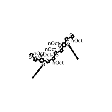 C#CC#CC#CC#COc1cc(-c2ccc(-c3sc(-c4cc(CCCCCCCC)c(-c5ccc(-c6cc(OCCCCCCCC)c(-c7ccc(-c8sccc8CCCCCCCC)s7)cc6OC#CC#CC#CC#C)s5)s4)cc3CCCCCCCC)s2)c(OCCCCCCCC)cc1-c1ccc(-c2sccc2CCCCCCCC)s1